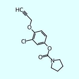 C#CCOc1ccc(OC(=O)N2CCCC2)cc1Cl